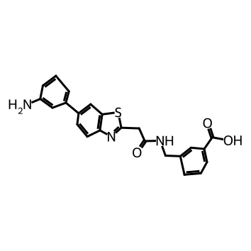 Nc1cccc(-c2ccc3nc(CC(=O)NCc4cccc(C(=O)O)c4)sc3c2)c1